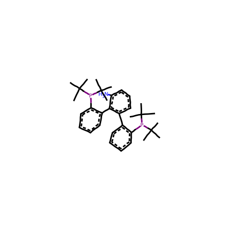 CC(C)(C)P(c1ccccc1-c1cccc(N)c1-c1ccccc1P(C(C)(C)C)C(C)(C)C)C(C)(C)C